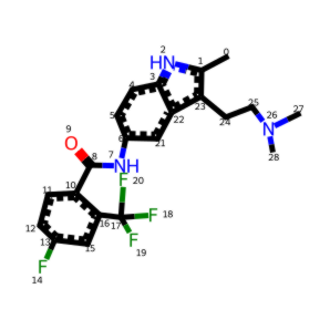 Cc1[nH]c2ccc(NC(=O)c3ccc(F)cc3C(F)(F)F)cc2c1CCN(C)C